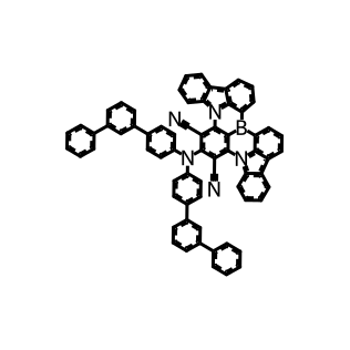 N#Cc1c(N(c2ccc(-c3cccc(-c4ccccc4)c3)cc2)c2ccc(-c3cccc(-c4ccccc4)c3)cc2)c(C#N)c2c3c1-n1c4ccccc4c4cccc(c41)B3c1cccc3c4ccccc4n-2c13